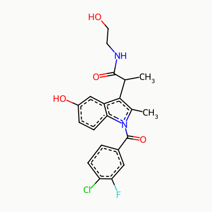 Cc1c(C(C)C(=O)NCCO)c2cc(O)ccc2n1C(=O)c1ccc(Cl)c(F)c1